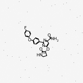 NC(=O)c1cc(O[C@H]2CCNC2=O)nc(-c2ccc(Oc3ccc(F)cc3)cc2)n1